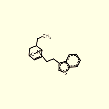 CCC1CC2C=CC1N(CCc1csc3ccccc13)C2